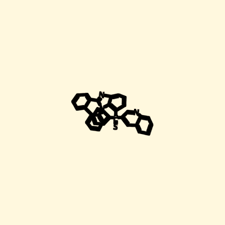 S=P(c1ccccc1)(c1cnc2ccccc2c1)c1cccc2nc3c4ccccc4c4ccccc4n3c12